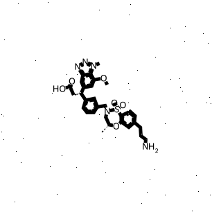 COc1cc([C@@H](CC(=O)O)c2cccc(CN3C[C@@H](C)Oc4cc(CCCN)ccc4S3(=O)=O)c2)cc2nnn(C)c12